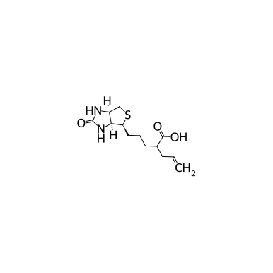 C=CCC(CCC[C@@H]1SC[C@@H]2NC(=O)N[C@@H]21)C(=O)O